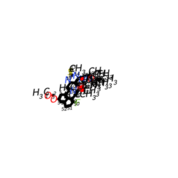 COCOc1cc(-c2cc3nc(SC)nc(NC[C@H](C)O[Si](C)(C)C(C)(C)C)c3c(OC(C)C)n2)c2c(C#C[Si](C(C)C)(C(C)C)C(C)C)c(F)ccc2c1